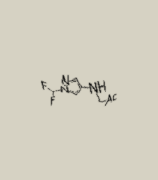 CC(=O)CNc1cnn(C(F)F)c1